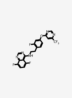 Fc1cc(Oc2cc(C(F)(F)F)ncn2)ccc1CCNc1ncnc2c(F)ccc(F)c12